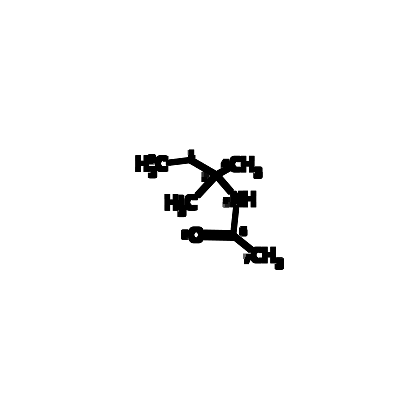 CCC(C)(C)NC(C)=O